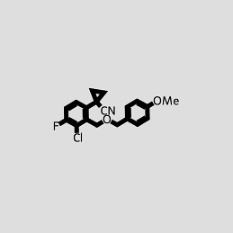 COc1ccc(COCc2c(C3(C#N)CC3)ccc(F)c2Cl)cc1